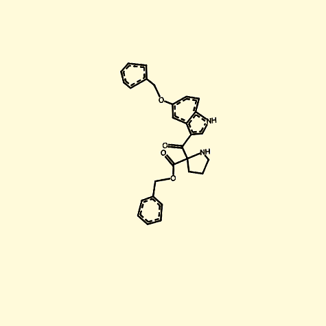 O=C(OCc1ccccc1)C1(C(=O)c2c[nH]c3ccc(OCc4ccccc4)cc23)CCCN1